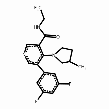 CC1CCN(c2c(C(=O)NCC(F)(F)F)cncc2-c2cc(F)cc(F)c2)C1